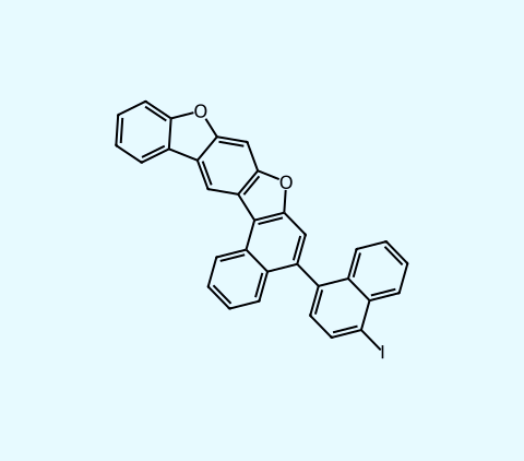 Ic1ccc(-c2cc3oc4cc5oc6ccccc6c5cc4c3c3ccccc23)c2ccccc12